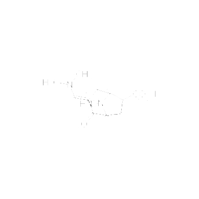 CN(C)C=C1CC2C(C(=O)O)CC(C1=O)N2C